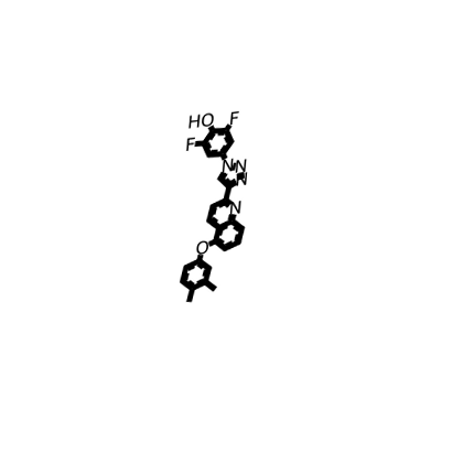 Cc1ccc(Oc2cccc3nc(-c4cn(-c5cc(F)c(O)c(F)c5)nn4)ccc23)cc1C